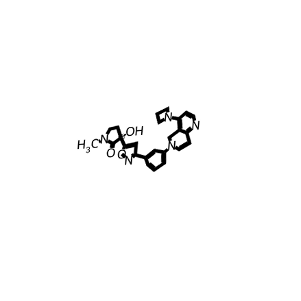 CN1CC[C@@](O)(c2cc(-c3cccc(N4C=Cc5nccc(N6CCC6)c5C4)c3)no2)C1=O